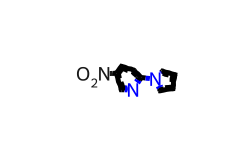 O=[N+]([O-])c1ccc(-n2cccc2)nc1